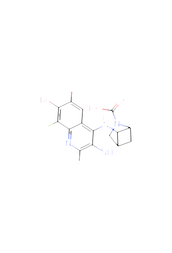 Nc1c(Cl)nc2c(F)c(Br)c(I)cc2c1NC1C2CC1N(C(=O)O)C2